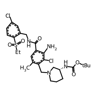 CCS(=O)(=O)c1ccc(Cl)cc1CNC(=O)c1cc(C)c(CN2CCC[C@@H](NC(=O)OC(C)(C)C)C2)c(Cl)c1N